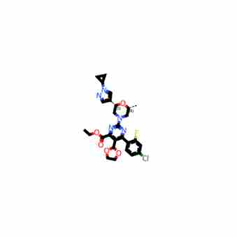 CCOC(=O)c1nc(N2C[C@@H](C)O[C@@H](c3cnn(C4CC4)c3)C2)nc(-c2ccc(Cl)cc2F)c1C1OCCO1